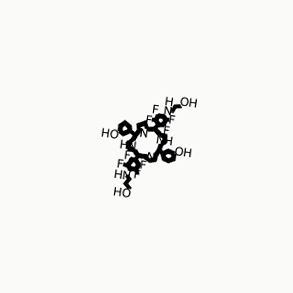 OCCCNc1c(F)c(F)c(-c2c3nc(c(-c4cccc(O)c4)c4ccc([nH]4)c(-c4c(F)c(F)c(NCCCO)c(F)c4F)c4nc(c(-c5cccc(O)c5)c5ccc2[nH]5)C=C4)C=C3)c(F)c1F